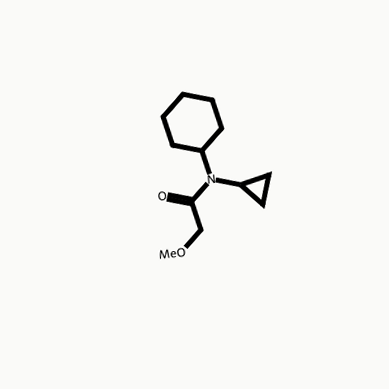 [CH2]OCC(=O)N(C1CCCCC1)C1CC1